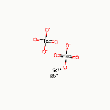 O=[Te](=O)([O-])[O-].O=[Te](=O)([O-])[O-].[Rb+].[Sc+3]